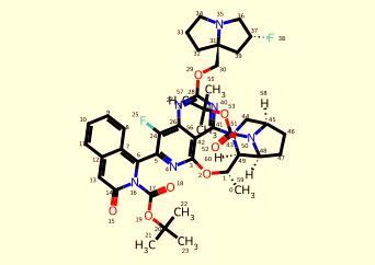 C[C@@H]1Oc2nc(-c3c4ccccc4cc(=O)n3C(=O)OC(C)(C)C)c(F)c3nc(OC[C@@]45CCCN4C[C@H](F)C5)nc(c23)N2C[C@H]3CC[C@@H]([C@@H]12)N3C(=O)OC(C)(C)C